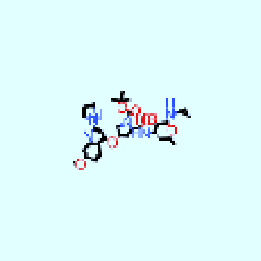 CCC[C@H](NC(=O)C1CC(Oc2cc(-n3cccn3)nc3cc(OC)ccc23)CN1C(=O)OC(C)(C)C)[C@H](O)C(=O)NC1CC1